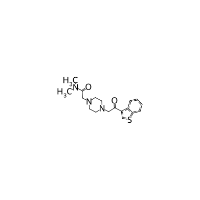 CN(C)C(=O)CN1CCN(CC(=O)c2csc3ccccc23)CC1